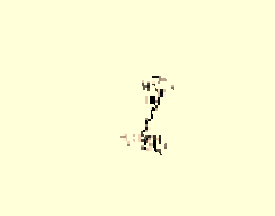 CN/C=C\NCCCCCC[N+](C)(C)C